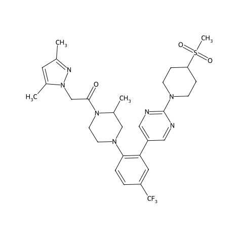 Cc1cc(C)n(CC(=O)N2CCN(c3ccc(C(F)(F)F)cc3-c3cnc(N4CCC(S(C)(=O)=O)CC4)nc3)CC2C)n1